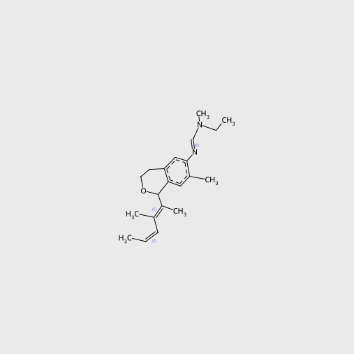 C/C=C\C(C)=C(/C)C1OCCc2cc(/N=C/N(C)CC)c(C)cc21